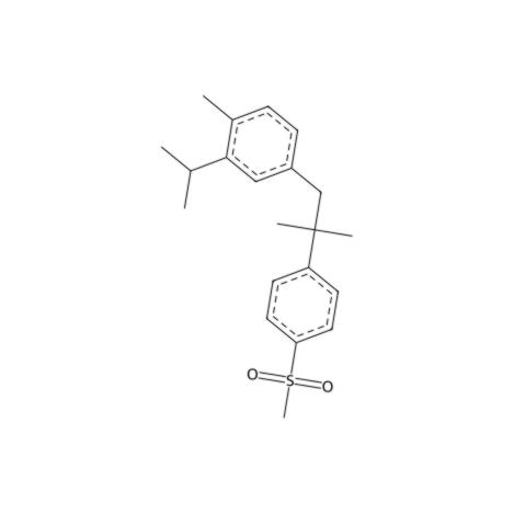 Cc1ccc(CC(C)(C)c2ccc(S(C)(=O)=O)cc2)cc1C(C)C